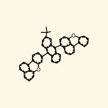 CC(C)(C)c1ccc2c(-c3ccc4c(c3)Oc3cccc5cccc-4c35)c3ccccc3c(-c3ccc4c5c(cccc35)-c3ccccc3O4)c2c1